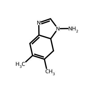 CC1=C(C)CC2C(=C1)N=CN2N